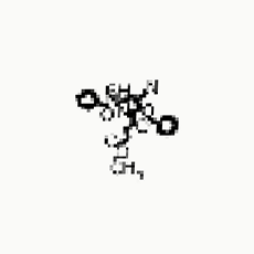 CCOC(=O)CCC(=O)c1nc(N(C)C(=O)c2ccccc2)cc(C#N)c1OCc1ccccc1